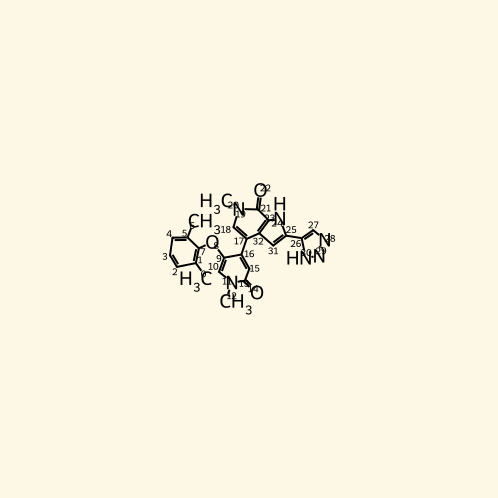 Cc1cccc(C)c1Oc1cn(C)c(=O)cc1-c1cn(C)c(=O)c2[nH]c(-c3cnn[nH]3)cc12